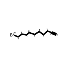 C#CCCCCCCCCBr